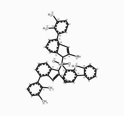 CCCCC1=Cc2c(-c3cccc(C)c3C)cccc2[CH]1[Hf]([Cl])([Cl])([c]1cccc2c1[SiH2]c1ccccc1-2)[CH]1C(CCCC)=Cc2c(-c3cccc(C)c3C)cccc21